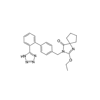 CCOC1=NC2(CCCC2)C(=O)N1Cc1ccc(-c2ccccc2-c2nnn[nH]2)cc1